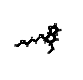 CCc1cc(OCCCOC)c2occc2c1